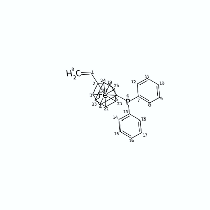 C=C[C]12[CH]3[CH]4[C]5(P(c6ccccc6)c6ccccc6)[CH]1[Fe]34251678[CH]2[CH]1[CH]6[CH]7[CH]28